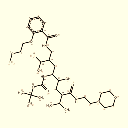 COCCOc1ccccc1C(=O)NCC(CC(NC(=O)OC(C)(C)C)C(O)CC(C(=O)NCCN1CCOCC1)C(C)C)C(C)C